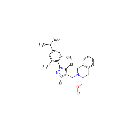 CCOCC1Cc2ccccc2CN1Cc1c(CC)nn(-c2c(C)cc(C(C)OC)cc2C)c1CC